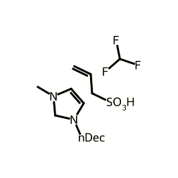 C=CCS(=O)(=O)O.CCCCCCCCCCN1C=CN(C)C1.FC(F)F